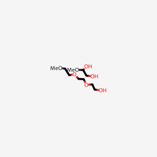 COC(O)CO.COCCOCCOCCO